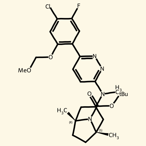 COCOc1cc(Cl)c(F)cc1-c1ccc(N(C)C2C[C@]3(C)CC[C@](C)(C2)N3C(=O)OC(C)(C)C)nn1